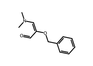 CN(C)C=C(C=O)OCc1ccccc1